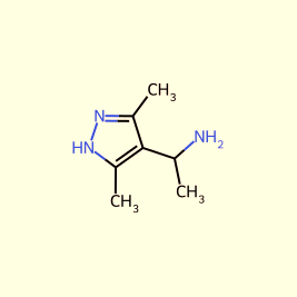 Cc1n[nH]c(C)c1C(C)N